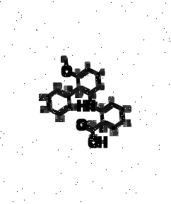 COc1cccc(Nc2ccccc2C(=O)O)c1-c1ccccc1